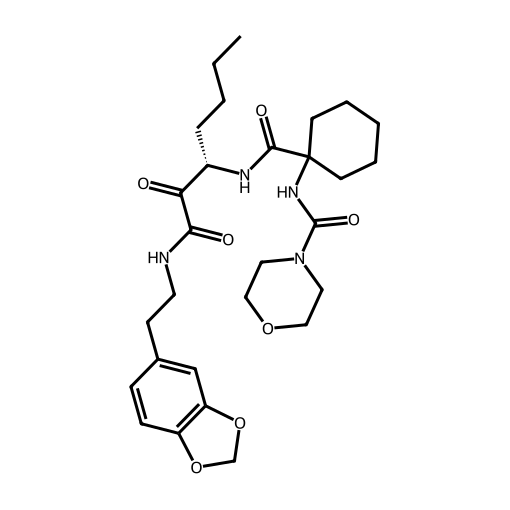 CCCC[C@H](NC(=O)C1(NC(=O)N2CCOCC2)CCCCC1)C(=O)C(=O)NCCc1ccc2c(c1)OCO2